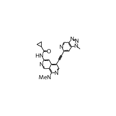 CNc1ncc(C#Cc2cc3c(cn2)nnn3C)c2cc(NC(=O)C3CC3)ncc12